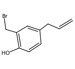 C=CCc1ccc(O)c(CBr)c1